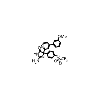 COc1cccc(-c2ccnc(C3(c4ccc(OS(=O)(=O)C(F)(F)F)cc4)N=C(N)N(C)C3=O)c2)c1